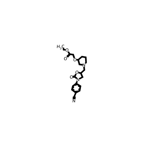 CCOC(=O)COC1CCCN(CC2CN(c3ccc(C#N)cc3)C(=O)O2)C1